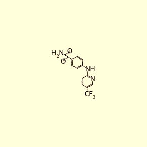 NS(=O)(=O)c1ccc(Nc2ccc(C(F)(F)F)cn2)cc1